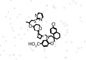 CC(CSc1ncccn1)O[C@@H]1CCO[C@@H]([C@@H]2CC[C@H]2CN2CC3(CCCc4cc(Cl)ccc43)COc3ccc(C(=O)O)cc32)C1